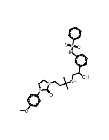 COc1ccc(N2CCN(CCC(C)(C)NCC(O)c3cccc(NS(=O)(=O)c4ccccc4)c3)C2=O)cc1